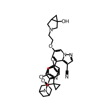 N#Cc1cnn2cc(OCCN3CC4CC4(O)C3)cc(-c3ccc(N4CC5CC(C4)N5C(=O)C4(c5ccc(Cl)cc5Cl)CC4)nc3)c12